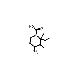 CCC1(C)C(C)C(N)CCN1C(=O)O